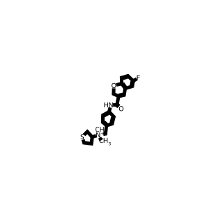 C[N+](C)(Cc1ccc(NC(=O)C2=Cc3cc(F)ccc3OC2)cc1)C1CCSC1